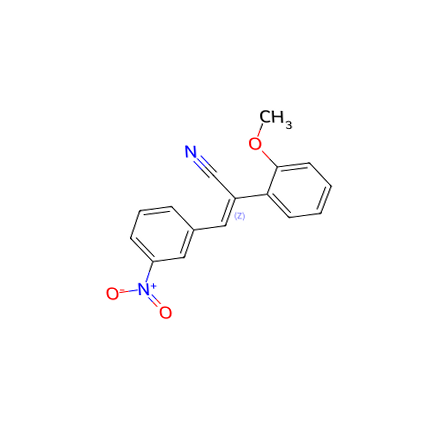 COc1ccccc1/C(C#N)=C/c1cccc([N+](=O)[O-])c1